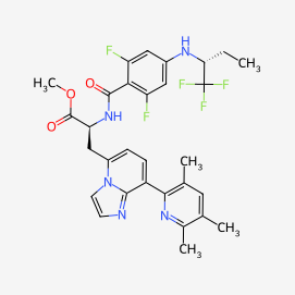 CC[C@@H](Nc1cc(F)c(C(=O)N[C@@H](Cc2ccc(-c3nc(C)c(C)cc3C)c3nccn23)C(=O)OC)c(F)c1)C(F)(F)F